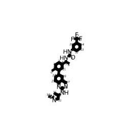 Cc1ccc(C(C)NC(=O)Nc2cccc(C(F)(F)F)c2)cc1-c1ccc2nc(Nc3cnn(C)c3)ncc2c1